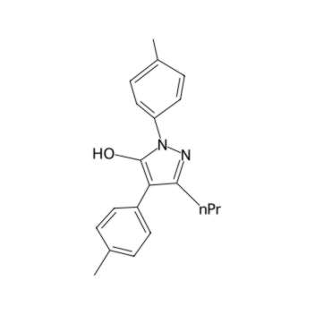 CCCc1nn(-c2ccc(C)cc2)c(O)c1-c1ccc(C)cc1